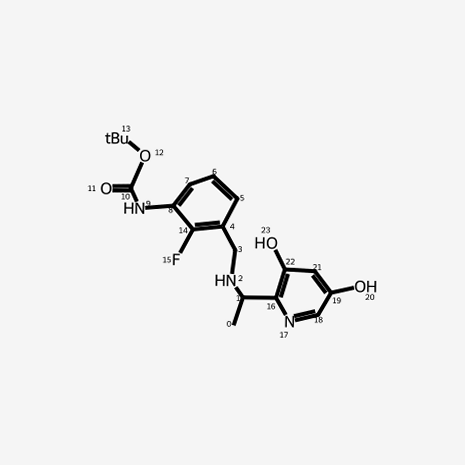 CC(NCc1cccc(NC(=O)OC(C)(C)C)c1F)c1ncc(O)cc1O